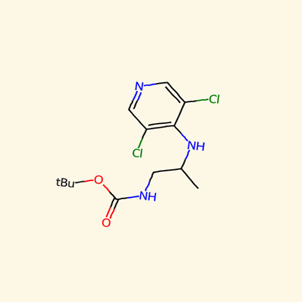 CC(CNC(=O)OC(C)(C)C)Nc1c(Cl)cncc1Cl